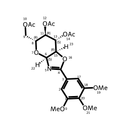 COc1cc(C2=N[C@H]3O[C@H](COC(C)=O)[C@@H](OC(C)=O)[C@H](OC(C)=O)[C@H]3O2)cc(OC)c1OC